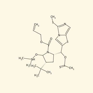 C=CCOC(=O)N1C(O[SiH](C)C)[C@@H](C(C)(C)C)C[C@H]1C(OC(C)=S)c1cn2c(SC)ncc2s1